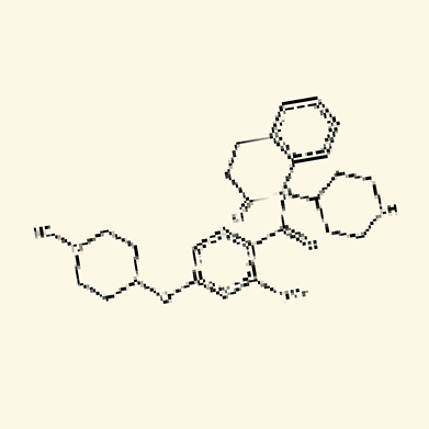 COc1cc(OC2CCN(C#N)CC2)ccc1C(=O)[N+]1(C2CCNCC2)C(=O)CCc2ccccc21